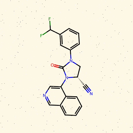 N#C[C@H]1CN(c2cccc(C(F)F)c2)C(=O)N1c1cncc2ccccc12